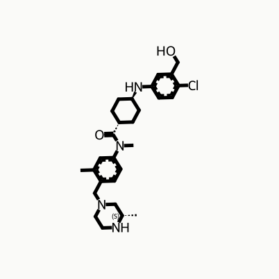 Cc1cc(N(C)C(=O)[C@H]2CC[C@H](Nc3ccc(Cl)c(CO)c3)CC2)ccc1CN1CCN[C@@H](C)C1